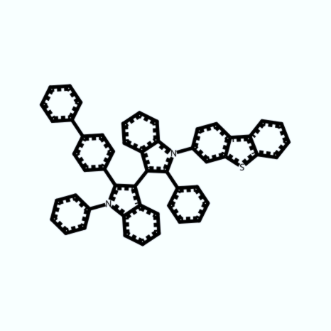 c1ccc(-c2ccc(-c3c(-c4c(-c5ccccc5)n(-c5ccc6c(c5)sc5ccccc56)c5ccccc45)c4ccccc4n3-c3ccccc3)cc2)cc1